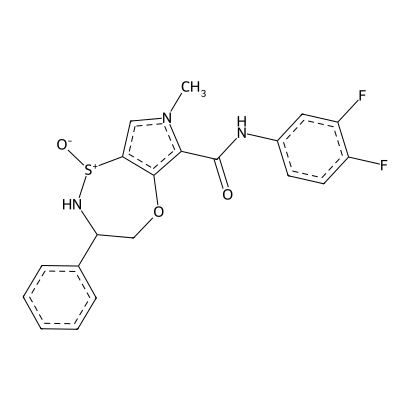 Cn1cc2c(c1C(=O)Nc1ccc(F)c(F)c1)OCC(c1ccccc1)N[S+]2[O-]